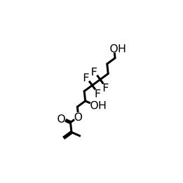 C=C(C)C(=O)OCC(O)CC(F)(F)C(F)(F)CCCO